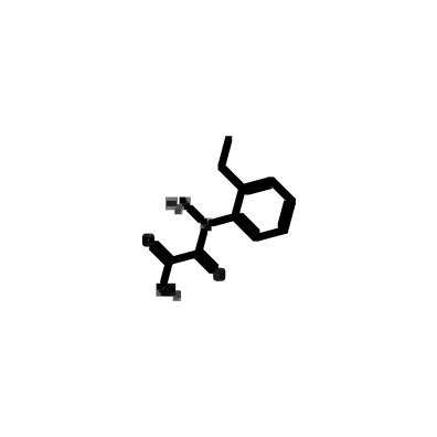 CCc1ccccc1N(N)C(=O)C(N)=O